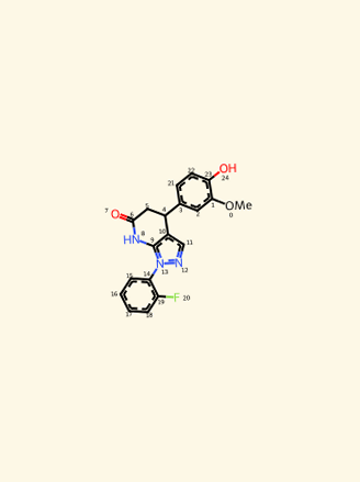 COc1cc(C2CC(=O)Nc3c2cnn3-c2ccccc2F)ccc1O